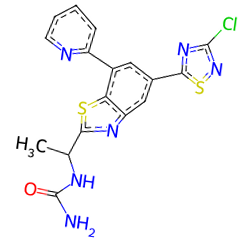 CC(NC(N)=O)c1nc2cc(-c3nc(Cl)ns3)cc(-c3ccccn3)c2s1